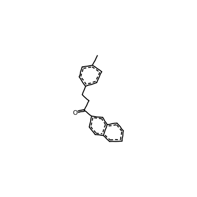 Cc1ccc(CCC(=O)c2ccc3ccccc3c2)cc1